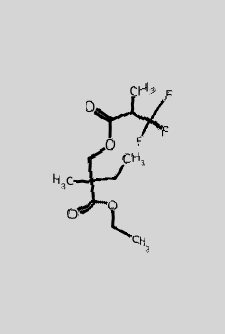 CCOC(=O)C(C)(CC)COC(=O)C(C)C(F)(F)F